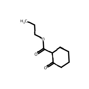 CCCOC(=O)C1CCCCC1=O